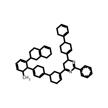 CC1C=CC=C(C2CCC3=C(CCC=C3)C2)C1C1=CC=C(C2CCC=C(C3=NC(c4ccccc4)=NC(C4=CCC(C5=CC=CCC5)CC4)C3)C2)CC1